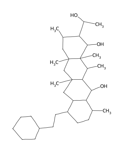 CC(O)C1C(C)CC2(C)CC3(C)CC4C(CCC5CCCCC5)CCC(C)C4C(O)C3C(C)C2(C)C1O